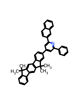 CC1(C)c2ccccc2-c2cc3c(cc21)-c1ccc(-c2cc(-c4ccccc4)nc(-c4ccc5ccccc5c4)c2)cc1C3(C)C